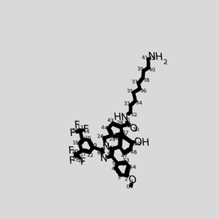 COc1ccc(-c2nc(-c3cc(C(F)(F)F)cc(C(F)(F)F)c3)n(Cc3ccc(C(=O)NCCCCCCCCCCN)cc3)c2-c2ccc(O)cc2)cc1